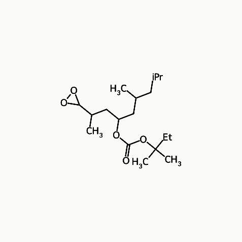 CCC(C)(C)OC(=O)OC(CC(C)CC(C)C)CC(C)C1OO1